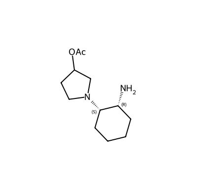 CC(=O)OC1CCN([C@H]2CCCC[C@H]2N)C1